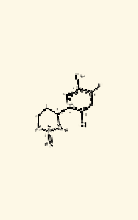 Fc1cc(Cl)c(C2CCO[PH](=S)O2)cc1F